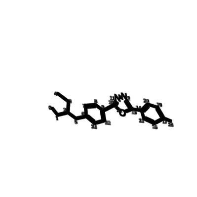 CCC(CC)Cc1ccc(-c2nnc(-c3ccc(C)cc3)o2)cc1